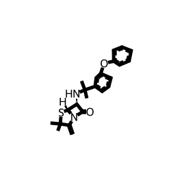 C=C1N2C(=O)[C@@H](NC(C)(C)c3cccc(Oc4ccccc4)c3)[C@H]2SC1(C)C